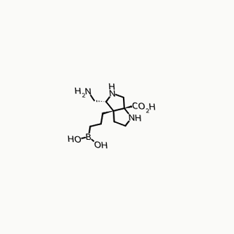 NC[C@@H]1NC[C@]2(C(=O)O)NCC[C@]12CCCB(O)O